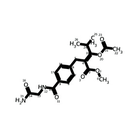 COC(=O)/C(Cc1ccc(C(=O)NCC(N)=O)cc1)=C(\OC(C)=O)C(C)C